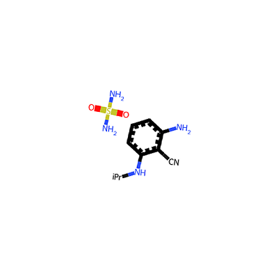 CC(C)Nc1cccc(N)c1C#N.NS(N)(=O)=O